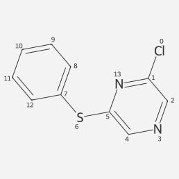 Clc1cncc(Sc2ccccc2)n1